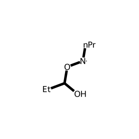 CCC[N]OC(O)CC